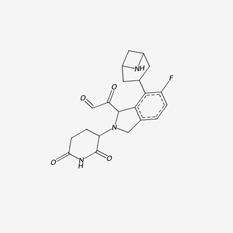 O=CC(=O)C1c2c(ccc(F)c2C2CC3CC(C2)N3)CN1C1CCC(=O)NC1=O